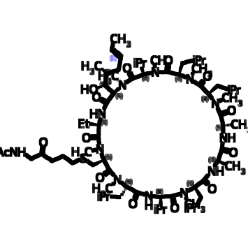 C/C=C/C[C@@H](C)[C@@H](O)[C@@H]1C(=O)N[C@H](CC)C(=O)N(C)[C@H](CSCCCC(=O)CNC(C)=O)C(=O)N(C)[C@@H](CC(C)C)C(=O)N[C@H](C(C)C)C(=O)N(C)[C@H](CC(C)C)C(=O)N[C@H](C)C(=O)N[C@@H](C)C(=O)N(C)[C@H](CC(C)C)C(=O)N(C)[C@H](CC(C)C)C(=O)N(C)[C@H](C(C)C)C(=O)N1C